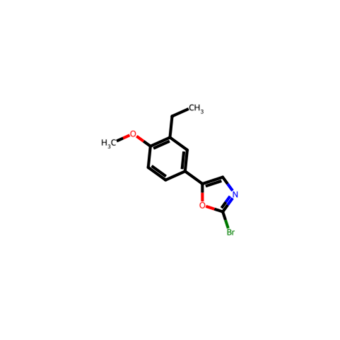 CCc1cc(-c2cnc(Br)o2)ccc1OC